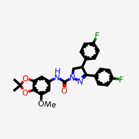 COc1cc(NC(=O)N2CC(c3ccc(F)cc3)C(c3ccc(F)cc3)=N2)cc2c1OC(C)(C)O2